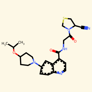 CC(C)OC1CCN(c2ccc3nccc(C(=O)NCC(=O)N4CSCC4C#N)c3c2)CC1